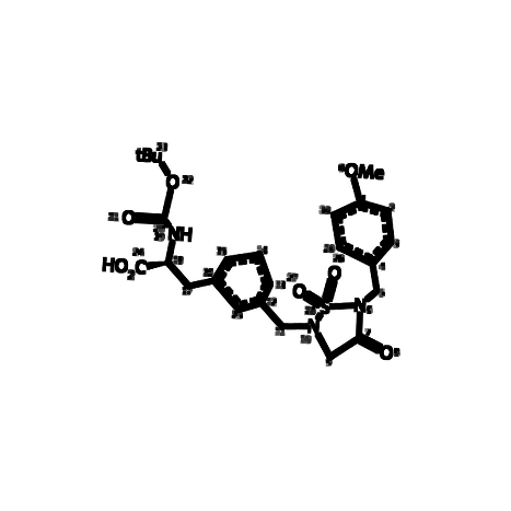 COc1ccc(CN2C(=O)CN(Cc3cccc(C[C@H](NC(=O)OC(C)(C)C)C(=O)O)c3)S2(=O)=O)cc1